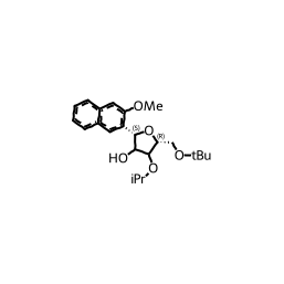 COc1cc2ccccc2cc1[C@@H]1O[C@H](COC(C)(C)C)C(OC(C)C)C1O